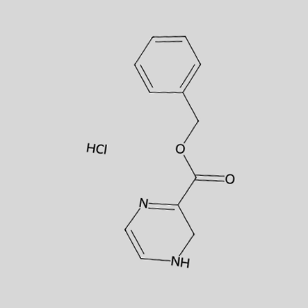 Cl.O=C(OCc1ccccc1)C1=NC=CNC1